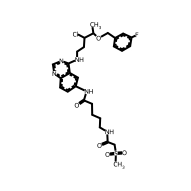 CC(OCc1cccc(F)c1)C(Cl)CCNc1ncnc2ccc(NC(=O)CCCCNC(=O)CS(C)(=O)=O)cc12